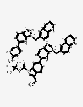 CCc1nn(C(=O)OC(C)(C)C)c2cc(-c3ccc4nnn(Cc5ccc6ncccc6c5)c4n3)ccc12.Nc1ncc(-c2ccc3nnn(Cc4ccc5ncccc5c4)c3n2)cn1